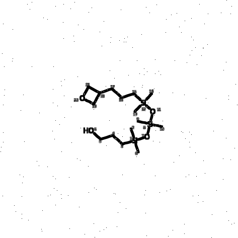 C[Si](C)(CCCO)O[Si](C)(C)O[Si](C)(C)CCCC1COC1